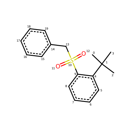 CC(C)(C)c1ccccc1S(=O)(=O)Cc1ccccc1